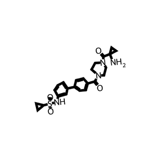 NC1(C(=O)N2CCN(C(=O)c3ccc(-c4cccc(NS(=O)(=O)C5CC5)c4)cc3)CC2)CC1